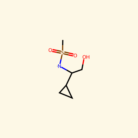 CS(=O)(=O)[N]C(CO)C1CC1